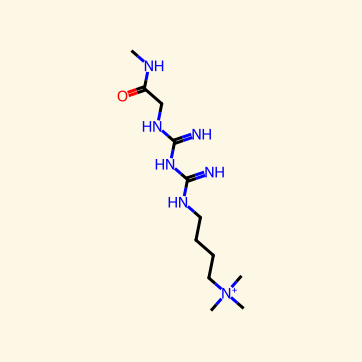 CNC(=O)CNC(=N)NC(=N)NCCCC[N+](C)(C)C